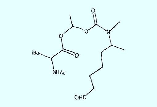 CCC(C)C(NC(C)=O)C(=O)OC(C)OC(=O)N(C)C(C)CCCCC=O